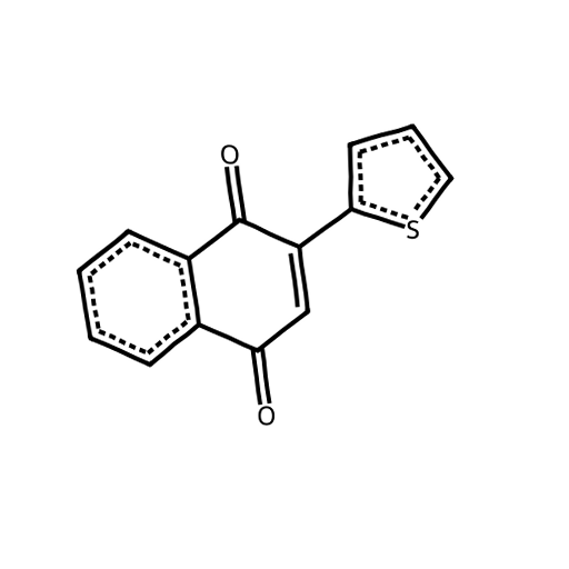 O=C1C=C(c2cccs2)C(=O)c2ccccc21